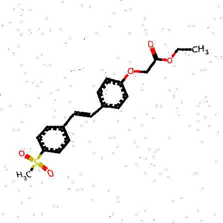 CCOC(=O)COc1ccc(C=Cc2ccc(S(C)(=O)=O)cc2)cc1